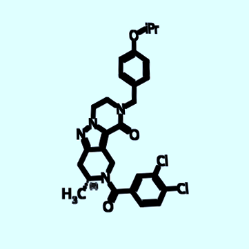 CC(C)Oc1ccc(CN2CCn3nc4c(c3C2=O)CN(C(=O)c2ccc(Cl)c(Cl)c2)[C@H](C)C4)cc1